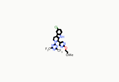 COCCOc1ncc(C2c3[nH]c4ccc(Cl)cc4c3CCN2c2nc(C(F)(F)F)nc(C(F)(F)F)n2)cn1